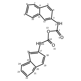 O=C(Bc1ccc2ccccc2c1)OC(=O)Bc1ccc2ccccc2c1